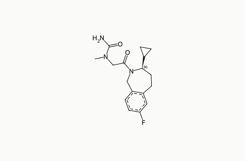 CN(CC(=O)N1Cc2ccc(F)cc2CC[C@@H]1C1CC1)C(N)=O